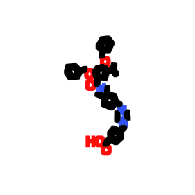 CC(C)c1cc(C(=O)N2Cc3ccc(CN4CCN(Cc5ccc(C(=O)O)cc5)CC4)cc3C2)c(OCc2ccccc2)cc1OCc1ccccc1